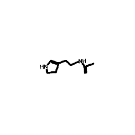 C=C(C)NCCC1=CNCC1